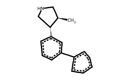 C[C@@H]1CNC[C@H]1c1cccc(-c2ccccc2)c1